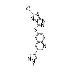 Cn1cc(-c2cnc3ccc(Sc4nnc5sc(C6CC6)nn45)cc3c2)cn1